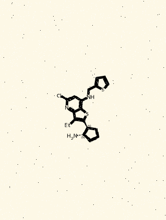 CCc1c([C@H]2CCC[C@@H]2N)sc2c(NCc3cccs3)cc(Cl)nc12